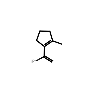 C=C(C1=C(C)CCC1)C(C)C